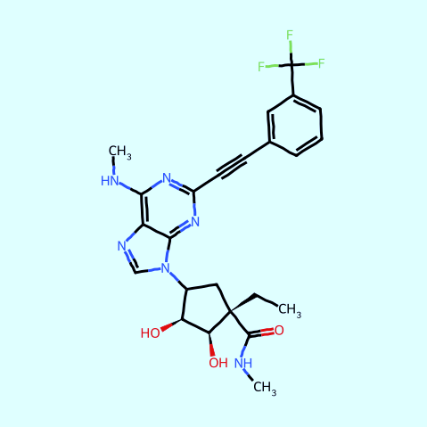 CC[C@]1(C(=O)NC)CC(n2cnc3c(NC)nc(C#Cc4cccc(C(F)(F)F)c4)nc32)[C@H](O)[C@@H]1O